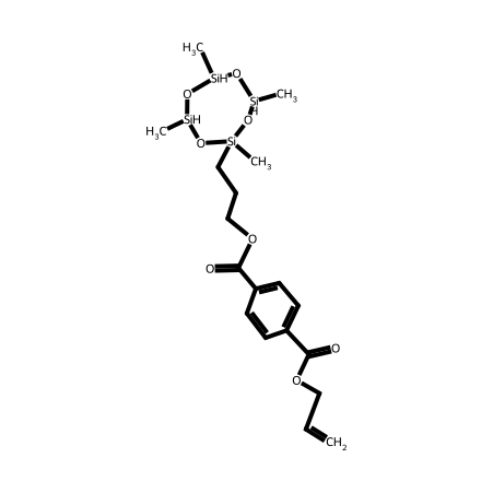 C=CCOC(=O)c1ccc(C(=O)OCCC[Si]2(C)O[SiH](C)O[SiH](C)O[SiH](C)O2)cc1